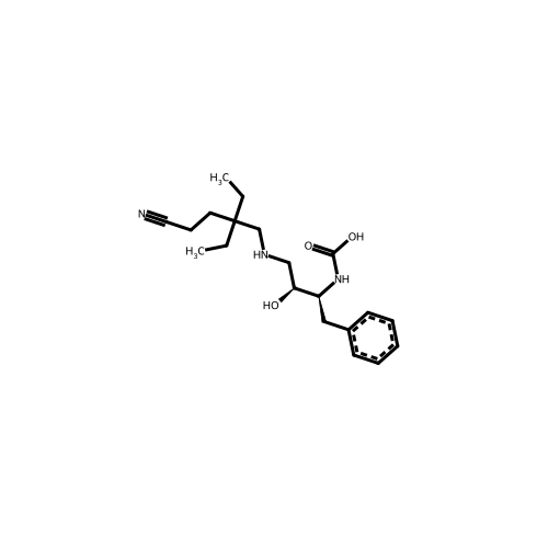 CCC(CC)(CCC#N)CNC[C@H](O)[C@H](Cc1ccccc1)NC(=O)O